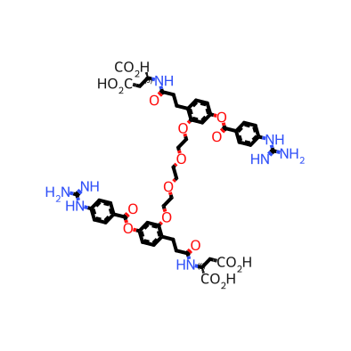 N=C(N)Nc1ccc(C(=O)Oc2ccc(CCC(=O)N[C@@H](CC(=O)O)C(=O)O)c(OCCOCCOCCOc3cc(OC(=O)c4ccc(NC(=N)N)cc4)ccc3CCC(=O)N[C@@H](CC(=O)O)C(=O)O)c2)cc1